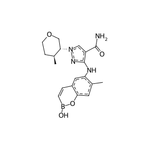 Cc1cc2c(cc1Nc1nn([C@H]3COCC[C@@H]3C)cc1C(N)=O)C=CB(O)O2